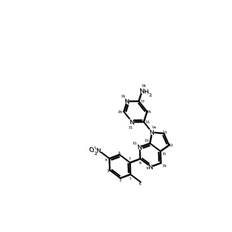 Cc1ccc([N+](=O)[O-])cc1-c1ncc2ccn(-c3cc(N)ncn3)c2n1